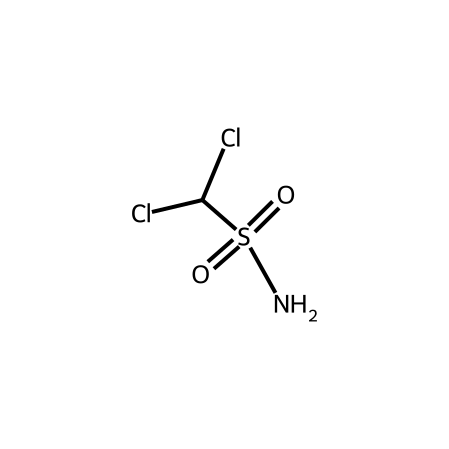 NS(=O)(=O)C(Cl)Cl